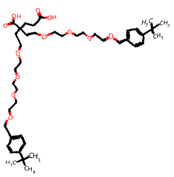 CC(C)(C)c1ccc(COCCOCCOCCOCCC(CCOCCOCCOCCOCc2ccc(C(C)(C)C)cc2)(CCC(=O)O)C(=O)O)cc1